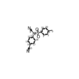 Cc1ccc(S(=O)(=O)N(C#N)c2ccc(C#N)cc2)cc1